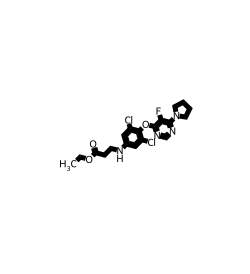 CCOC(=O)CCNc1cc(Cl)c(Oc2ncnc(N3CCCC3)c2F)c(Cl)c1